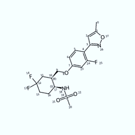 Cc1cc(-c2ccc(OC[C@@H]3CC(F)(F)CC[C@@H]3NS(C)(=O)=O)cc2F)no1